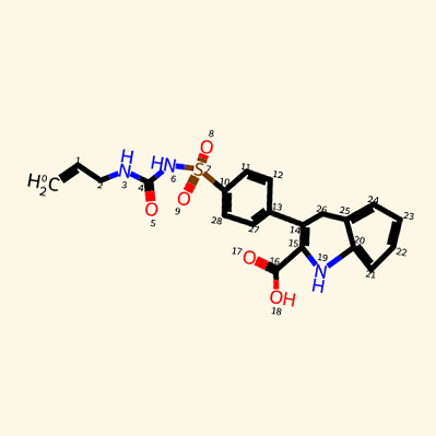 C=CCNC(=O)NS(=O)(=O)c1ccc(C2=C(C(=O)O)Nc3ccccc3C2)cc1